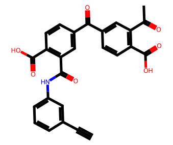 C#Cc1cccc(NC(=O)c2cc(C(=O)c3ccc(C(=O)O)c(C(C)=O)c3)ccc2C(=O)O)c1